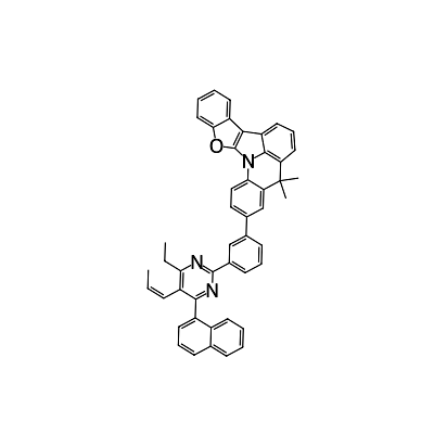 C/C=C\c1c(CC)nc(-c2cccc(-c3ccc4c(c3)C(C)(C)c3cccc5c6c7ccccc7oc6n-4c35)c2)nc1-c1cccc2ccccc12